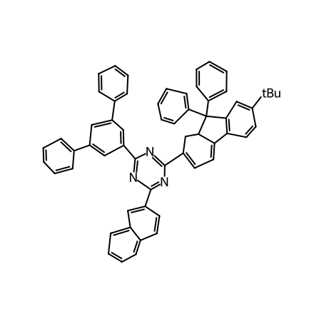 CC(C)(C)c1ccc2c(c1)C(c1ccccc1)(c1ccccc1)C1CC(c3nc(-c4cc(-c5ccccc5)cc(-c5ccccc5)c4)nc(-c4ccc5ccccc5c4)n3)=CC=C21